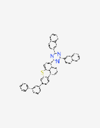 c1ccc(-c2cccc(-c3ccc4c(c3)Sc3ccc(-c5nc(-c6ccc7ccccc7c6)nc(-c6ccc7ccccc7c6)n5)c5cccc-4c35)c2)cc1